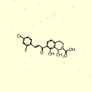 CC1c2c(ccc(C(=O)C=Cc3ccc(Cl)cc3F)c2O)CCN1C(=O)O